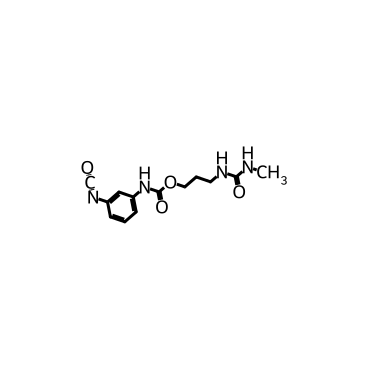 CNC(=O)NCCCOC(=O)Nc1cccc(N=C=O)c1